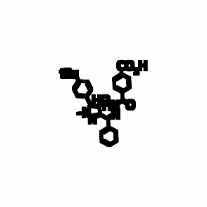 Cn1nc(/C(=N\NC(=O)c2ccc(C(=O)O)cc2)c2ccccc2)c(O)c1-c1ccc(C(C)(C)C)cc1